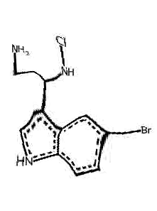 NCC(NCl)c1c[nH]c2ccc(Br)cc12